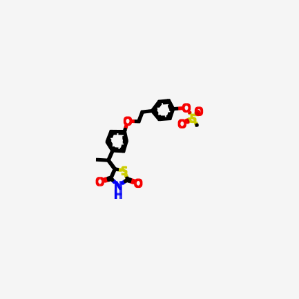 CC(c1ccc(OCCc2ccc(OS(C)(=O)=O)cc2)cc1)C1SC(=O)NC1=O